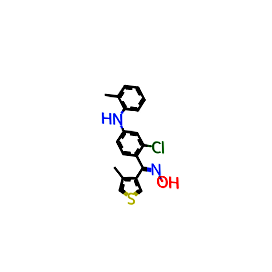 Cc1ccccc1Nc1ccc(C(=NO)c2cscc2C)c(Cl)c1